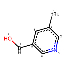 CC(C)(C)c1cncc(BO)c1